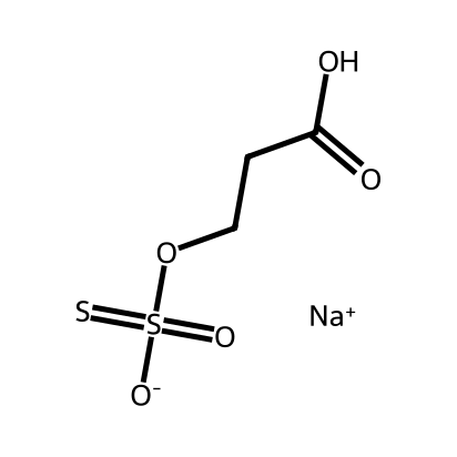 O=C(O)CCOS(=O)([O-])=S.[Na+]